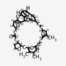 C=C1C2CC3OCCC3CC(=O)CC3CCC4O[C@@H]5C6O[C@@H]7CC(CCC8CC(C)C(CC[C@@H](C[C@H]1C)O2)O8)[C@H](OC6[C@H]4O3)OC57